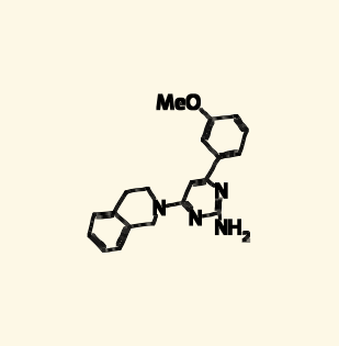 COc1cccc(-c2cc(N3CCc4ccccc4C3)nc(N)n2)c1